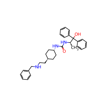 C[C@@H](NC(=O)N[C@H]1CC[C@H](CCNCc2ccccc2)CC1)C(O)(c1ccccc1)c1ccccc1